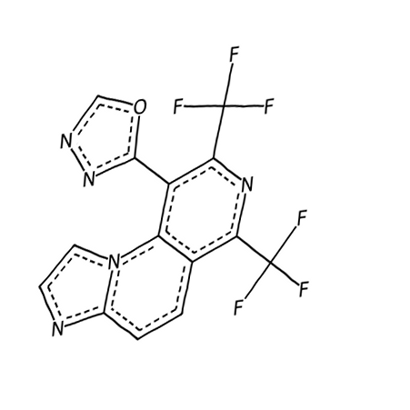 FC(F)(F)c1nc(C(F)(F)F)c2ccc3nccn3c2c1-c1nnco1